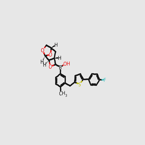 Cc1ccc(B(O)C2O[C@H]3[C@H]4OC[C@H](C[C@H]23)O4)cc1Cc1ccc(-c2ccc(F)cc2)s1